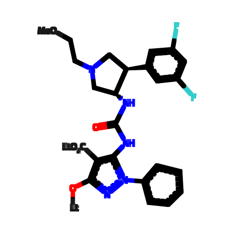 CCOC(=O)c1c(OCC)nn(-c2ccccc2)c1NC(=O)N[C@@H]1CN(CCOC)C[C@H]1c1cc(F)cc(F)c1